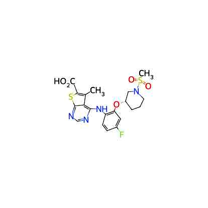 Cc1c(C(=O)O)sc2ncnc(Nc3ccc(F)cc3O[C@H]3CCCN(S(C)(=O)=O)C3)c12